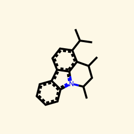 CC(C)c1ccc2c3ccccc3n3c2c1C(C)CC3C